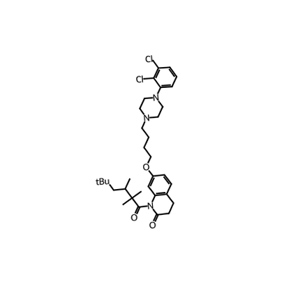 CC(CC(C)(C)C)C(C)(C)C(=O)N1C(=O)CCc2ccc(OCCCCN3CCN(c4cccc(Cl)c4Cl)CC3)cc21